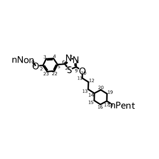 CCCCCCCCCOc1ccc(-c2nnc(OCCCC3CCC(CCCCC)CC3)s2)cc1